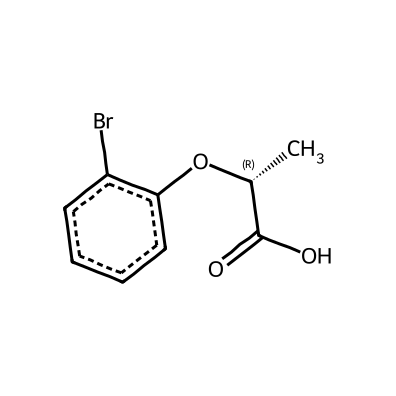 C[C@@H](Oc1ccccc1Br)C(=O)O